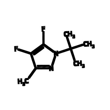 Cc1nn(C(C)(C)C)c(F)c1F